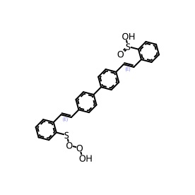 O=S(O)c1ccccc1/C=C/c1ccc(-c2ccc(/C=C/c3ccccc3SOOO)cc2)cc1